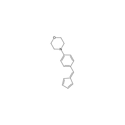 C1=CC(=Cc2ccc(N3CCOCC3)cc2)C=C1